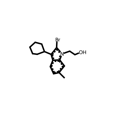 Cc1ccc2c(C3CCCCC3)c(Br)n(CCO)c2c1